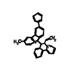 C=CC1C(C2c3ccc(-c4ccccc4)cc3-c3cc(C)cc[n+]32)c2ccccc2-c2cccc[n+]21